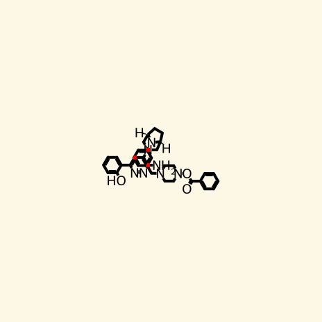 Nc1nnc(-c2ccccc2O)cc1N1C[C@H]2CC[C@@H](C1)N2c1cccc(CN2CCN(OC(=O)c3ccccc3)CC2)c1